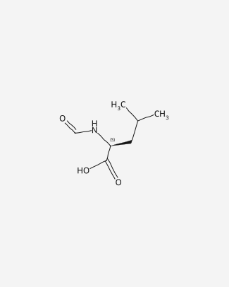 CC(C)C[C@H](NC=O)C(=O)O